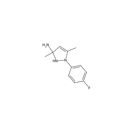 CC1=CC(C)(N)NN1c1ccc(F)cc1